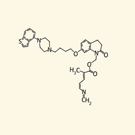 C=N/C=C\C=C(/C)C(=O)OCN1C(=O)CCc2ccc(OCCCCN3CCN(c4cccc5sccc45)CC3)cc21